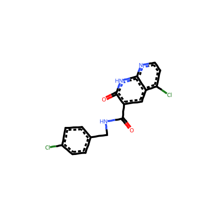 O=C(NCc1ccc(Cl)cc1)c1cc2c(Cl)ccnc2[nH]c1=O